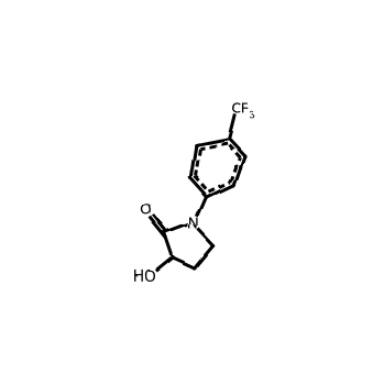 O=C1C(O)CCN1c1ccc(C(F)(F)F)cc1